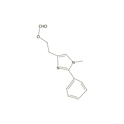 Cn1cc(CCOC=O)nc1-c1ccccc1